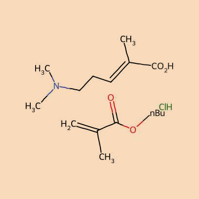 C=C(C)C(=O)OCCCC.CC(=CCCN(C)C)C(=O)O.Cl